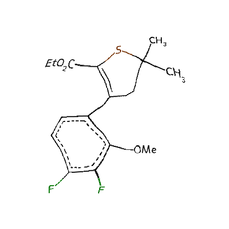 CCOC(=O)C1=C(c2ccc(F)c(F)c2OC)CC(C)(C)S1